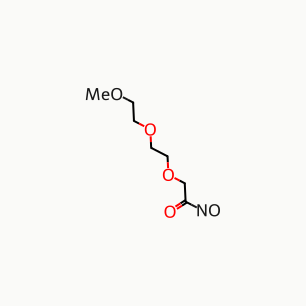 COCCOCCOCC(=O)N=O